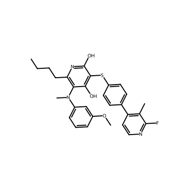 CCCCc1nc(O)c(Sc2ccc(-c3ccnc(F)c3C)cc2)c(O)c1N(C)c1cccc(OC)c1